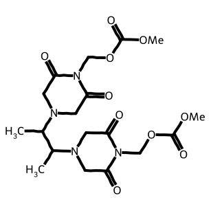 COC(=O)OCN1C(=O)CN(C(C)C(C)N2CC(=O)N(COC(=O)OC)C(=O)C2)CC1=O